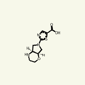 O=C(O)c1cnc(N2C[C@@H]3NCCO[C@@H]3C2)s1